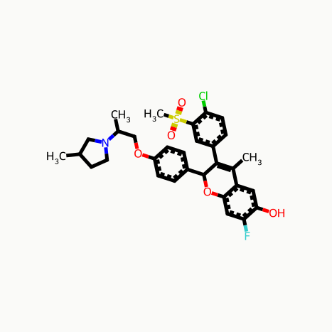 CC1=C(c2ccc(Cl)c(S(C)(=O)=O)c2)C(c2ccc(OCC(C)N3CCC(C)C3)cc2)Oc2cc(F)c(O)cc21